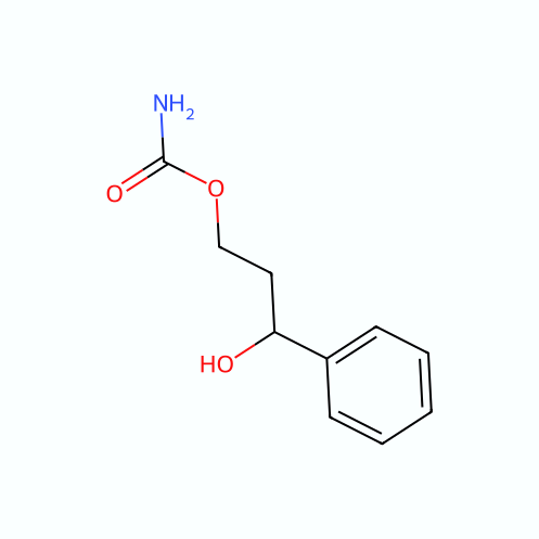 NC(=O)OCCC(O)c1ccccc1